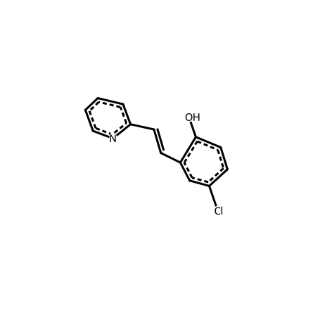 Oc1ccc(Cl)cc1C=Cc1ccccn1